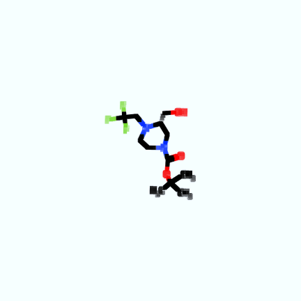 CC(C)(C)OC(=O)N1CCN(CC(F)(F)F)[C@H](CO)C1